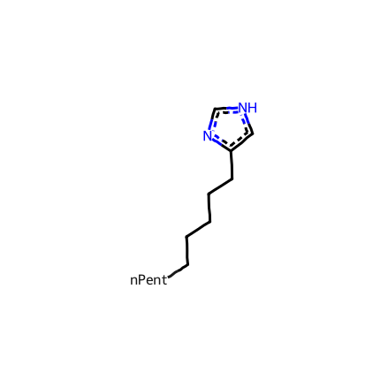 [CH2]CCCCCCCCCc1c[nH]cn1